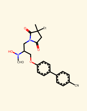 CCC1(C)CC(=O)N(CC(COc2ccc(-c3ccc(C#N)cc3)cc2)N(O)C=O)C1=O